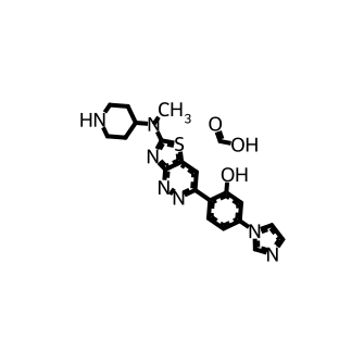 CN(c1nc2nnc(-c3ccc(-n4ccnc4)cc3O)cc2s1)C1CCNCC1.O=CO